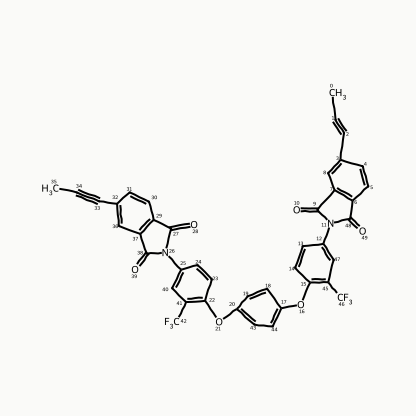 CC#Cc1ccc2c(c1)C(=O)N(c1ccc(Oc3ccc(Oc4ccc(N5C(=O)c6ccc(C#CC)cc6C5=O)cc4C(F)(F)F)cc3)c(C(F)(F)F)c1)C2=O